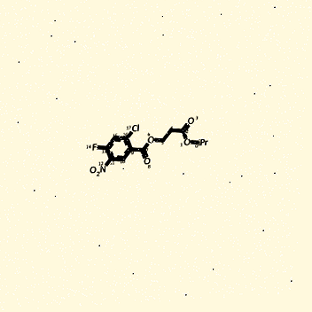 CC(C)OC(=O)CCOC(=O)c1cc([N+](=O)[O-])c(F)cc1Cl